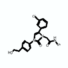 CC(C)NC(=O)Cn1c(-c2cccc(Cl)c2)cn(-c2ccc(CCO)cc2)c1=O